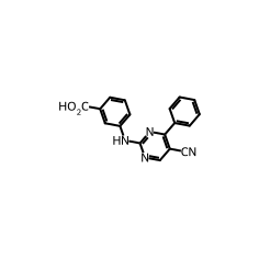 N#Cc1cnc(Nc2cccc(C(=O)O)c2)nc1-c1ccccc1